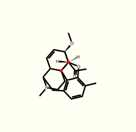 CO[C@]12C=C[C@@]3(C[C@@H]1C(C)=O)C1Cc4ccc(C)c5c4C3(CCN1C)[C@H]2O5